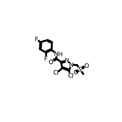 CS(=O)(=O)Cn1nc(C(=O)Nc2ccc(F)cc2F)c(Cl)c1Cl